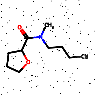 CN(CCCC#N)C(=O)C1CCCO1